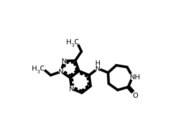 CCc1nn(CC)c2nccc(NC3CCNC(=O)CC3)c12